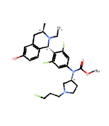 C[C@@H]1Cc2cc(O)ccc2[C@@H](c2c(F)cc(N(C(=O)OC(C)(C)C)[C@H]3CCN(CCCF)C3)cc2F)N1CC(F)(F)F